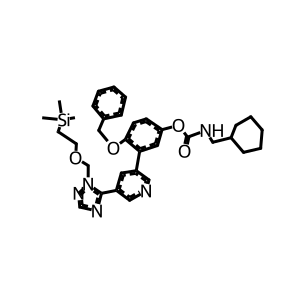 C[Si](C)(C)CCOCn1ncnc1-c1cncc(-c2cc(OC(=O)NCC3CCCCC3)ccc2OCc2ccccc2)c1